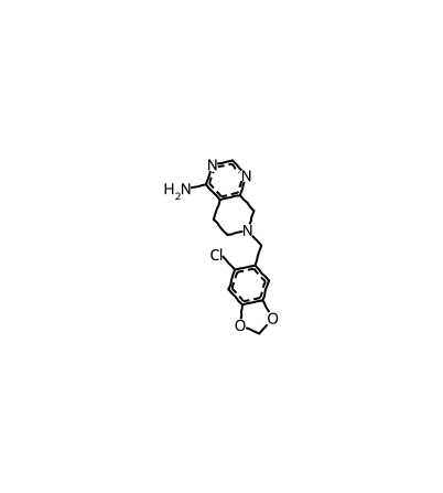 Nc1ncnc2c1CCN(Cc1cc3c(cc1Cl)OCO3)C2